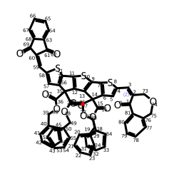 O=C1/C(=C\c2cc3c(s2)-c2sc4c(c2C3(C(=O)OCc2ccccc2)C(=O)OCc2ccccc2)C(C(=O)OCc2ccccc2)(C(=O)OCc2ccccc2)c2cc(C=C3C(=O)c5ccccc5C3=O)sc2-4)COCc2ccccc21